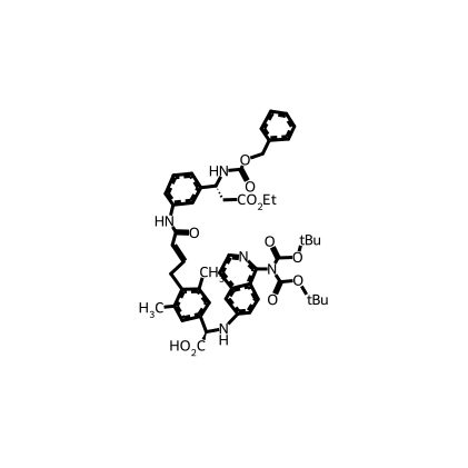 CCOC(=O)C[C@@H](NC(=O)OCc1ccccc1)c1cccc(NC(=O)C=CCc2c(C)cc([C@@H](Nc3ccc4c(N(C(=O)OC(C)(C)C)C(=O)OC(C)(C)C)nccc4c3)C(=O)O)cc2C)c1